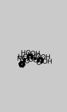 N#CC(O[C@@H]1O[C@H](CO[C@@H]2OC[C@@H](O)[C@@H](O)[C@@H]2O)[C@@H](O)[C@H](O)[C@H]1O)c1ccccc1